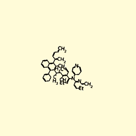 C=C/C=C\C(=C)C1=c2ccccc2=C(C2=CC=CCC2)C(C(C)C/C(C)=C(\C=C/C)C(=C\CC)/N(C2=CC=NC=CC2)C(/C=C\CC)=N/C=C)C1C